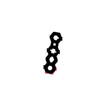 c1cnc2c(c1)-c1nc3c(nc1-2)c1c2ccccc2c3c2ncccc21